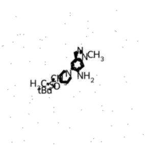 Cn1ncc2cc(N3CCC(O[Si](C)(C)C(C)(C)C)CC3)c(N)cc21